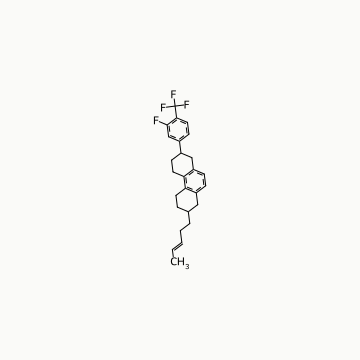 C/C=C/CCC1CCc2c(ccc3c2CCC(c2ccc(C(F)(F)F)c(F)c2)C3)C1